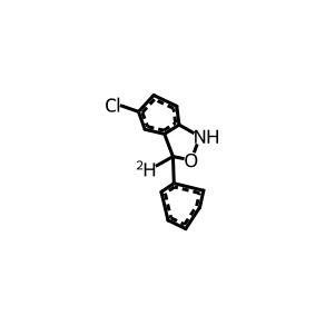 [2H]C1(c2ccccc2)ONc2ccc(Cl)cc21